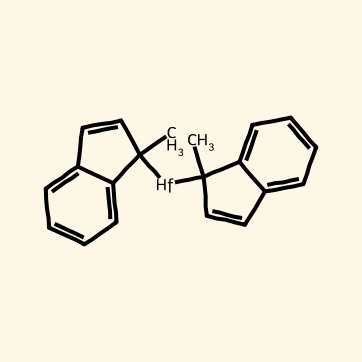 C[C]1([Hf][C]2(C)C=Cc3ccccc32)C=Cc2ccccc21